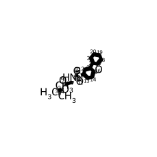 CC(C)(C)OC(=O)CNS(=O)(=O)c1ccc2oc3ccccc3c2c1